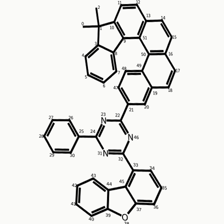 CC1(C)c2ccccc2-c2c1ccc1ccc3ccc4cc(-c5nc(-c6ccccc6)nc(-c6cccc7oc8ccccc8c67)n5)ccc4c3c21